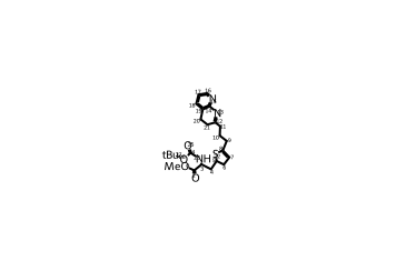 COC(=O)C(CC1CC=C(CCCC2=Nc3ncccc3CC2)S1)NC(=O)OC(C)(C)C